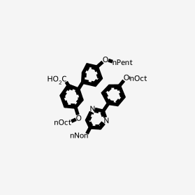 CCCCCCCCCc1cnc(-c2ccc(OCCCCCCCC)cc2)nc1.CCCCCCCCOc1ccc(C(=O)O)c(-c2ccc(OCCCCC)cc2)c1